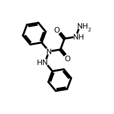 NNC(=O)C(=O)N(Nc1ccccc1)c1ccccc1